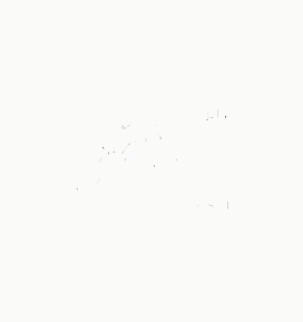 C=C/C=N\C=C(/C=C)C(CCCCC)CCCCCC